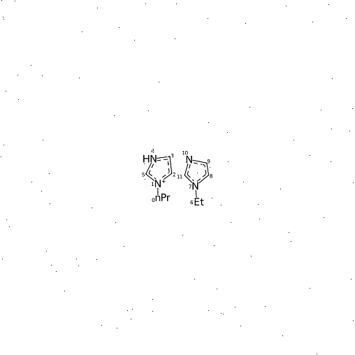 CCC[n+]1cc[nH]c1.CCn1ccnc1